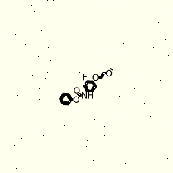 COCCOc1ccc(NC(=O)Oc2ccccc2)cc1F